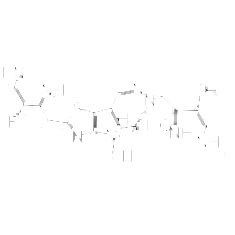 CN(CC(=N)/C(=C\N)OC(F)(F)F)/N=C\c1c(C=O)n(C)c2nc(CC(=N)/C(F)=C\N)sc12